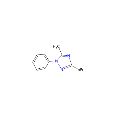 CCCc1nc(C)n(-c2ccccc2)n1